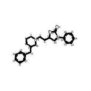 O=C1OC(CCN2CCCC(Cc3ccccc3)C2)CN1c1ccccc1